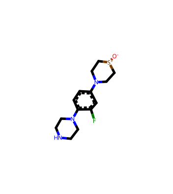 [O-][S+]1CCN(c2ccc(N3CCNCC3)c(F)c2)CC1